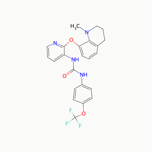 CN1CCCc2cccc(Oc3ncccc3NC(=O)Nc3ccc(OC(F)(F)F)cc3)c21